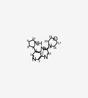 c1nc2cncc(C3CCCN3)c2nc1N1CCOCC1